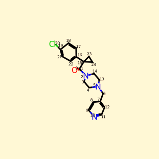 O=C(N1CCN(Cc2ccncc2)CC1)C1(c2ccc(Cl)cc2)CC1